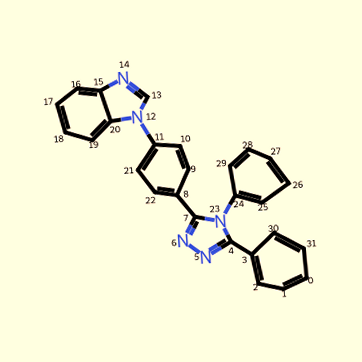 c1ccc(-c2nnc(-c3ccc(-n4cnc5ccccc54)cc3)n2-c2ccccc2)cc1